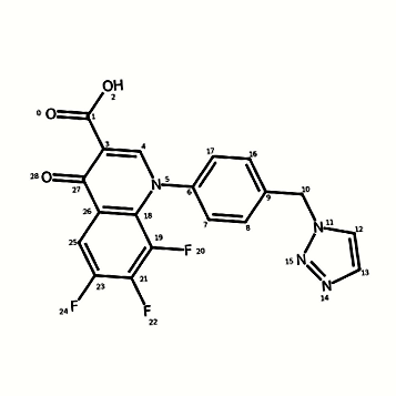 O=C(O)c1cn(-c2ccc(Cn3ccnn3)cc2)c2c(F)c(F)c(F)cc2c1=O